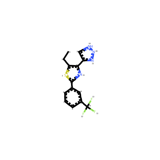 CCc1sc(-c2cccc(C(F)(F)F)c2)nc1-c1c[nH]nn1